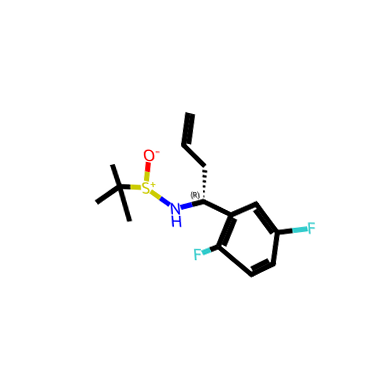 C=CC[C@@H](N[S+]([O-])C(C)(C)C)c1cc(F)ccc1F